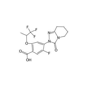 CC(Oc1cc(-n2nc3n(c2=O)CCCC3)c(F)cc1C(=O)O)C(F)(F)F